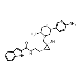 C[C@H]1CO[C@@H](c2ccc(N)nc2)CN1C[C@@]1(S)C[C@@H]1CCNC(=O)c1cc2ccccc2[nH]1